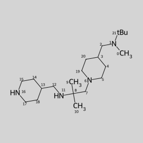 CN(CC1CCN(CC(C)(C)NCC2CCNCC2)CC1)C(C)(C)C